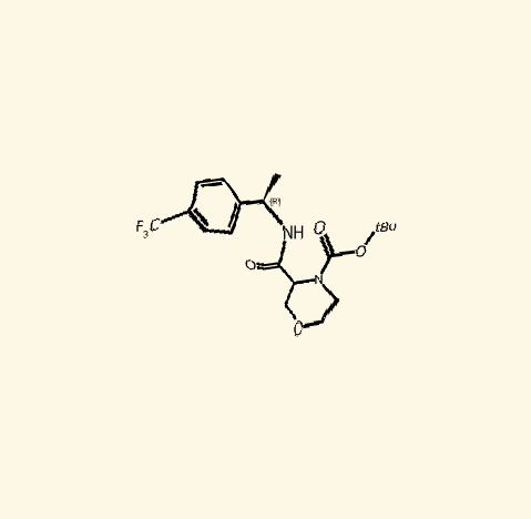 C[C@@H](NC(=O)C1COCCN1C(=O)OC(C)(C)C)c1ccc(C(F)(F)F)cc1